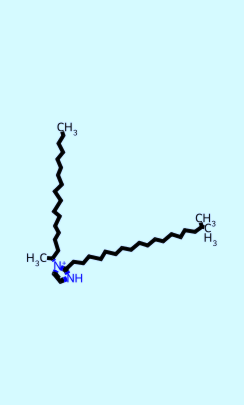 CCCCCCCCCCCCCCCCC(C)[n+]1cc[nH]c1CCCCCCCCCCCCCCCCC(C)C